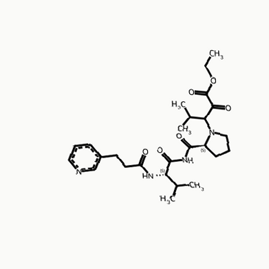 CCOC(=O)C(=O)C(C(C)C)N1CCC[C@H]1C(=O)NC(=O)[C@@H](NC(=O)CCc1cccnc1)C(C)C